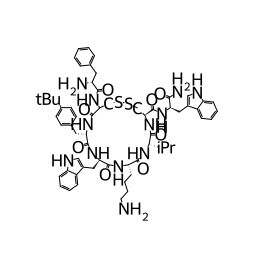 CC(C)[C@@H]1NC(=O)[C@H](CCCCN)NC(=O)[C@@H](Cc2c[nH]c3ccccc23)NC(=O)[C@H](Cc2ccc(C(C)(C)C)cc2)NC(=O)[C@@H](NC(=O)[C@H](N)Cc2ccccc2)CSSC[C@@H](C(=O)N[C@H](Cc2c[nH]c3ccccc23)C(N)=O)NC1=O